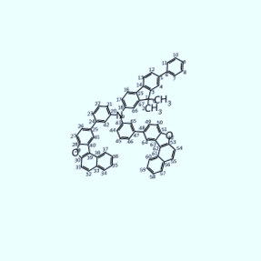 CC1(C)c2cc(-c3ccccc3)ccc2-c2ccc(N(c3cccc(-c4ccc5oc6ccc7ccccc7c6c5c4)c3)c3cccc(-c4ccc5oc6ccc7ccccc7c6c5c4)c3)cc21